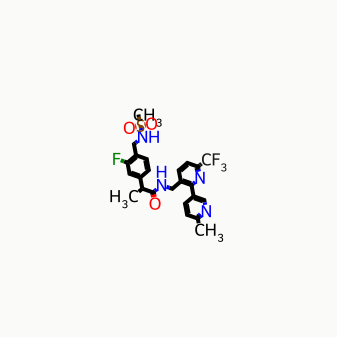 Cc1ccc(-c2nc(C(F)(F)F)ccc2CNC(=O)C(C)c2ccc(CNS(C)(=O)=O)c(F)c2)cn1